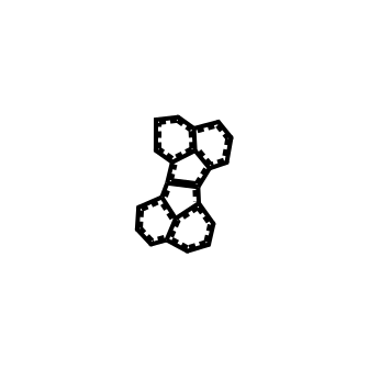 c1cc2cccc3c4c5cccc6cccc(c=4c(c1)c23)c65